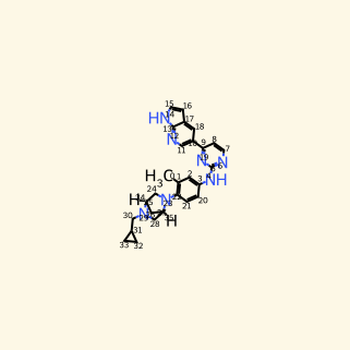 Cc1cc(Nc2nccc(-c3cnc4[nH]ccc4c3)n2)ccc1N1C[C@@H]2C[C@H]1CN2CC1CC1